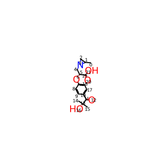 CC1CN1CC(Oc1ccc(C(=O)C(C)(C)O)cc1)C(=O)O